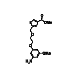 COC(=O)c1csc(COCCOc2cc(N)cc(OC)c2)c1